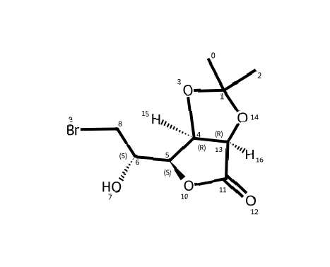 CC1(C)O[C@@H]2[C@H]([C@H](O)CBr)OC(=O)[C@@H]2O1